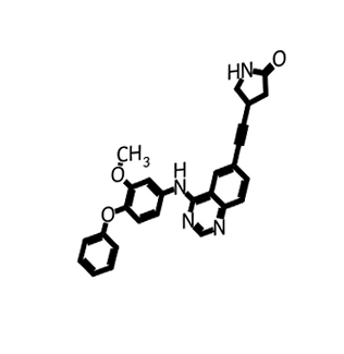 COc1cc(Nc2ncnc3ccc(C#CC4CNC(=O)C4)cc23)ccc1Oc1ccccc1